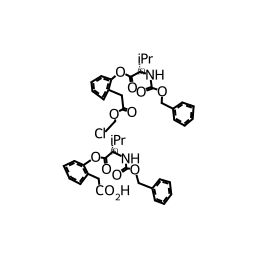 CC(C)[C@H](NC(=O)OCc1ccccc1)C(=O)Oc1ccccc1CC(=O)O.CC(C)[C@H](NC(=O)OCc1ccccc1)C(=O)Oc1ccccc1CC(=O)OCCl